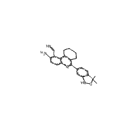 CC1(C)OBc2cc(-c3nc4ccc(N)c(C=N)c4c4c3CCCC4)ccc21